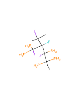 CC(P)(P)C(P)(I)C(F)(C(C)(C)I)C(P)(P)I